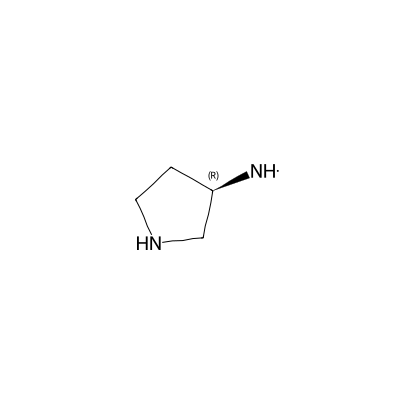 [NH][C@@H]1CCNC1